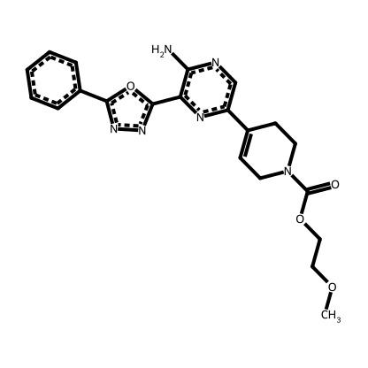 COCCOC(=O)N1CC=C(c2cnc(N)c(-c3nnc(-c4ccccc4)o3)n2)CC1